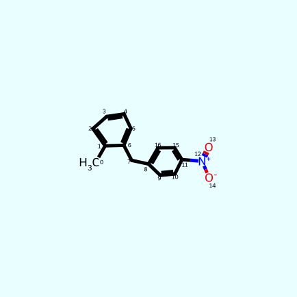 Cc1ccccc1Cc1ccc([N+](=O)[O-])cc1